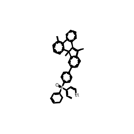 C/C=C(\C=C/CC)P(=O)(C1=CC=CCC1)c1ccc(-c2ccc3c(c2)C2(C)C(=C3C)c3ccccc3-c3c(C)cccc32)cc1